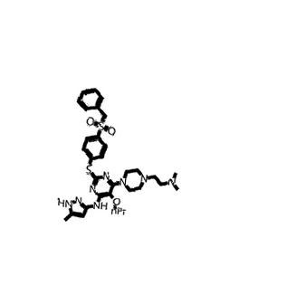 CCCOc1c(Nc2cc(C)[nH]n2)nc(Sc2ccc(S(=O)(=O)Cc3ccccc3)cc2)nc1N1CCN(CCN(C)C)CC1